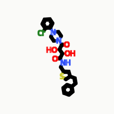 O=C(NCC1=CC(/C=C\c2ccccc2)CS1)[C@H](O)[C@@H](O)C(=O)N1CCN(c2ccccc2Cl)CC1